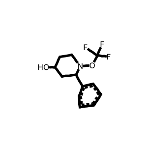 OC1CCN(OC(F)(F)F)C(c2ccccc2)C1